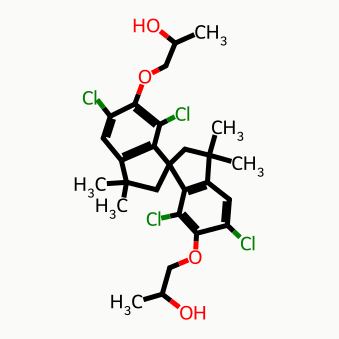 CC(O)COc1c(Cl)cc2c(c1Cl)C1(CC2(C)C)CC(C)(C)c2cc(Cl)c(OCC(C)O)c(Cl)c21